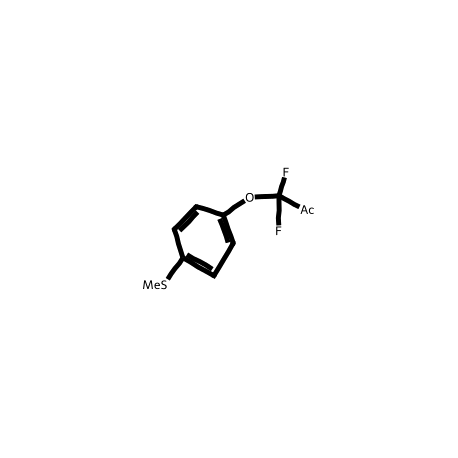 CSc1ccc(OC(F)(F)C(C)=O)cc1